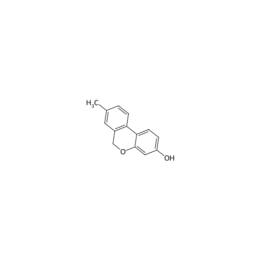 Cc1ccc2c(c1)COc1cc(O)ccc1-2